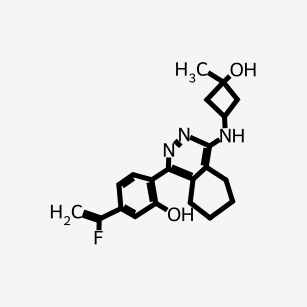 C=C(F)c1ccc(-c2nnc(NC3CC(C)(O)C3)c3c2CCCC3)c(O)c1